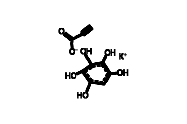 C#CC(=O)[O-].Oc1cc(O)c(O)c(O)c1O.[K+]